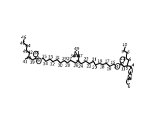 C=C=C=C=CC(CCCCC)CC(=O)OCCCCCCCCCCC(CCCCCCCCCCOC(=O)CC(C)CCCCC)CN(C)C